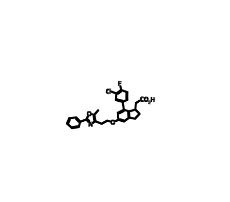 Cc1oc(-c2ccccc2)nc1CCOc1cc2c(c(-c3ccc(F)c(Cl)c3)c1)C(CC(=O)O)CC2